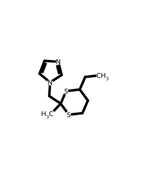 CCC1CCSC(C)(Cn2ccnc2)S1